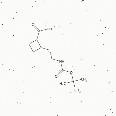 CC(C)(C)OC(=O)NCCC1CCC1C(=O)O